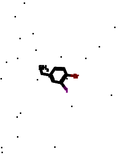 [SiH3]Cc1ccc(Br)c(I)c1